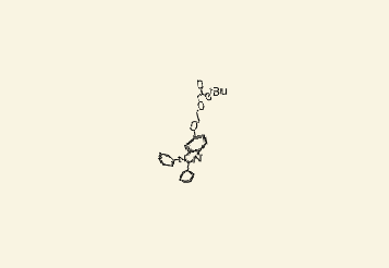 CC(C)(C)OC(=O)COCCOc1ccc2nc(-c3ccccc3)n(-c3ccccc3)c2c1